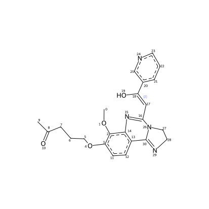 COc1c(OCCCC(C)=O)ccc2c1N=C(/C=C(\O)c1cccnc1)N1CCN=C21